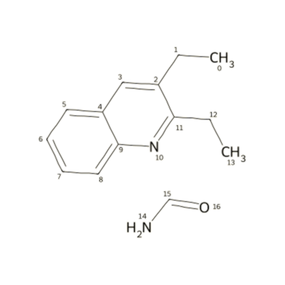 CCc1cc2ccccc2nc1CC.NC=O